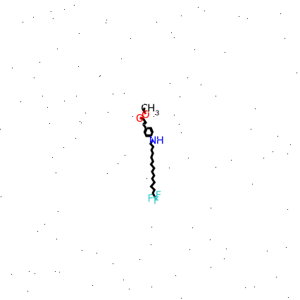 CCOC(=O)/C=C/c1ccc(NCCCCCCCCCCCCCCCC(F)(F)F)cc1